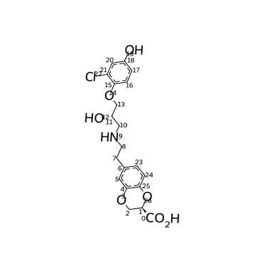 O=C(O)[C@H]1COc2cc(CCNC[C@H](O)COc3ccc(O)cc3Cl)ccc2O1